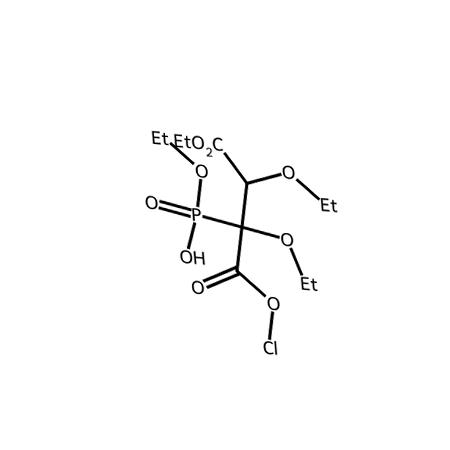 CCOC(=O)C(OCC)C(OCC)(C(=O)OCl)P(=O)(O)OCC